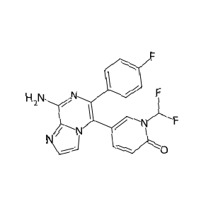 Nc1nc(-c2ccc(F)cc2)c(-c2ccc(=O)n(C(F)F)c2)n2ccnc12